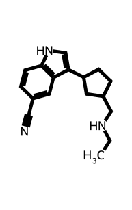 CCNCC1CCC(c2c[nH]c3ccc(C#N)cc23)C1